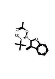 C=C1c2ccccc2O[C@H]1N(OC(C)=O)[S@@+]([O-])C(C)(C)C